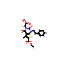 CCOC(=O)c1sc2c(c1C)c(=O)n(CC(=O)O)c(=O)n2CCc1ccccc1